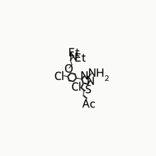 CCN(CC)CCOc1cc(-c2nc(N)nc3sc(/C=C/C(C)=O)cc23)c(Cl)cc1Cl